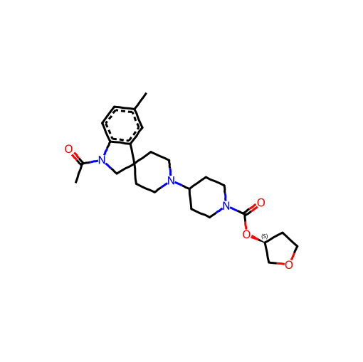 CC(=O)N1CC2(CCN(C3CCN(C(=O)O[C@H]4CCOC4)CC3)CC2)c2cc(C)ccc21